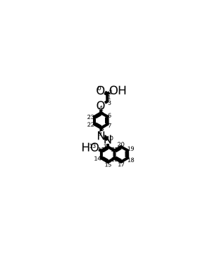 O=C(O)COc1ccc(N=Nc2c(O)ccc3ccccc23)cc1